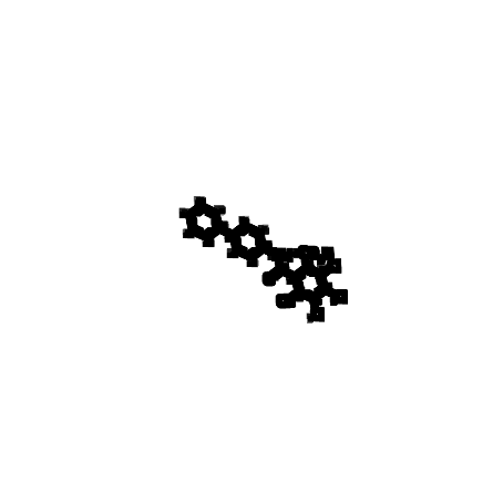 O=C(O)c1c(Cl)c(Cl)c(Cl)c(Cl)c1C(=O)Nc1ccc(-c2ccccc2)cc1